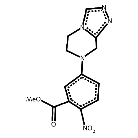 COC(=O)c1cc(N2CCn3cnnc3C2)ccc1[N+](=O)[O-]